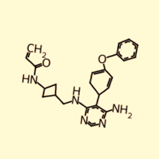 C=CC(=O)NC1CC(CNc2ncnc(N)c2C2C=CC(Oc3ccccc3)=CC2)C1